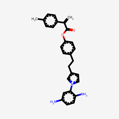 C=C(C(=O)Oc1ccc(CCc2ccn(-c3cc(N)ccc3N)c2)cc1)c1ccc(C)cc1